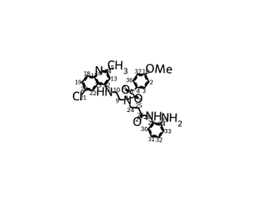 COc1ccc(S(=O)(=O)N(CCNc2cc(C)nc3ccc(Cl)cc23)CCC(=O)Nc2ccccc2N)cc1